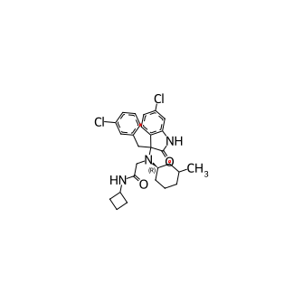 CC1CCC[C@@H](N(CC(=O)NC2CCC2)C2(Cc3cccc(Cl)c3)C(=O)Nc3cc(Cl)ccc32)C1